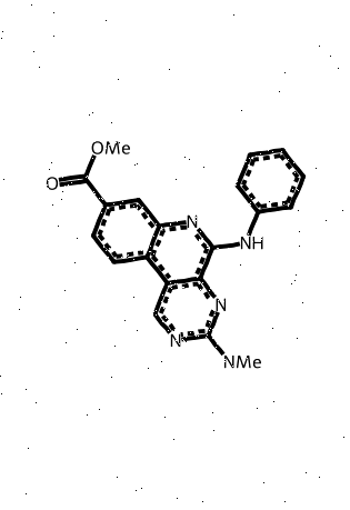 CNc1ncc2c(n1)c(Nc1ccccc1)nc1cc(C(=O)OC)ccc12